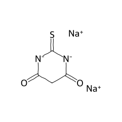 O=C1CC(=O)[N-]C(=S)[N-]1.[Na+].[Na+]